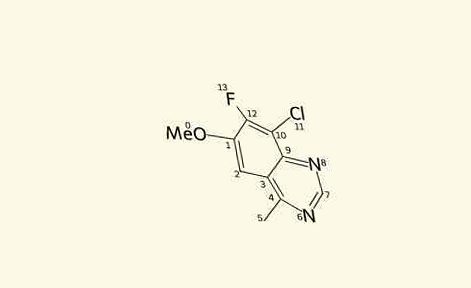 COc1cc2c(C)ncnc2c(Cl)c1F